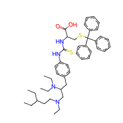 CCC(CC)CCN(CC)CC(Cc1ccc(NC(=S)NC(CSC(c2ccccc2)(c2ccccc2)c2ccccc2)C(=O)O)cc1)N(CC)CC